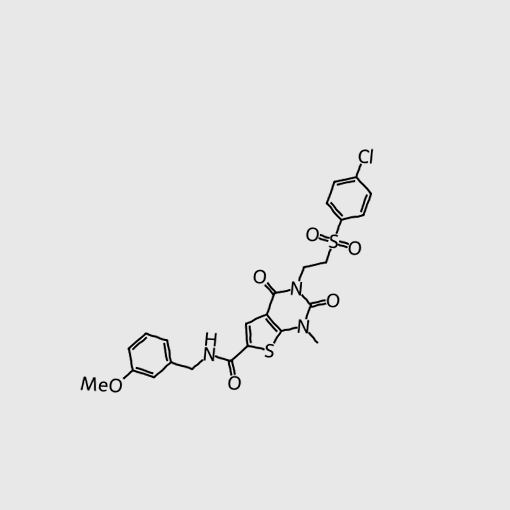 COc1cccc(CNC(=O)c2cc3c(=O)n(CCS(=O)(=O)c4ccc(Cl)cc4)c(=O)n(C)c3s2)c1